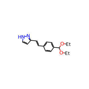 CCOC(OCC)c1ccc(/C=C/c2cc[nH]n2)cc1